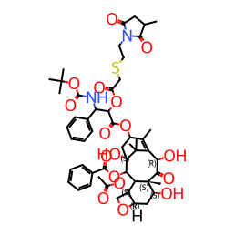 CC(=O)O[C@@]12CO[C@@H]1C[C@H](O)[C@@]1(C)C(=O)[C@H](O)C3=C(C)C(OC(=O)C(OC(=O)CSCCN4C(=O)CC(C)C4=O)C(NC(=O)OC(C)(C)C)c4ccccc4)C[C@@](O)(C(OC(=O)c4ccccc4)C12)C3(C)C